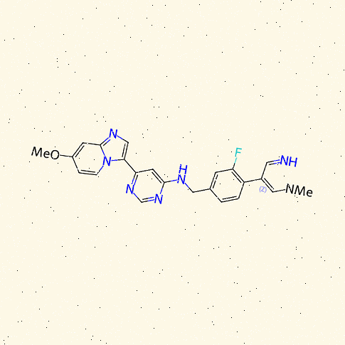 CN/C=C(\C=N)c1ccc(CNc2cc(-c3cnc4cc(OC)ccn34)ncn2)cc1F